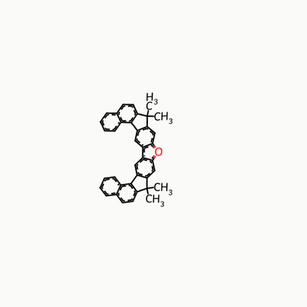 CC1(C)c2cc3oc4cc5c(cc4c3cc2-c2c1ccc1ccccc21)-c1c(ccc2ccccc12)C5(C)C